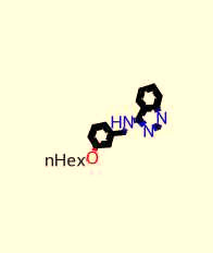 CCCCCCOc1cccc(CNc2ncnc3ccccc23)c1